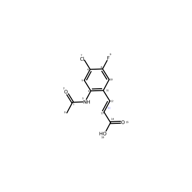 CC(=O)Nc1cc(Cl)c(F)cc1/C=C/C(=O)O